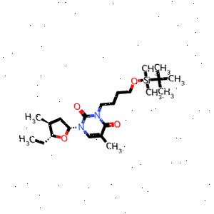 CC[C@H]1O[C@@H](n2cc(C)c(=O)n(CCCCO[Si](C)(C)C(C)(C)C)c2=O)C[C@@H]1C